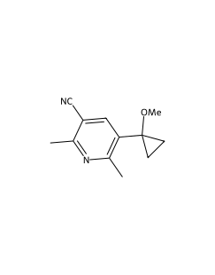 COC1(c2cc(C#N)c(C)nc2C)CC1